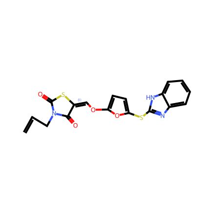 C=CCN1C(=O)S/C(=C/Oc2ccc(Sc3nc4ccccc4[nH]3)o2)C1=O